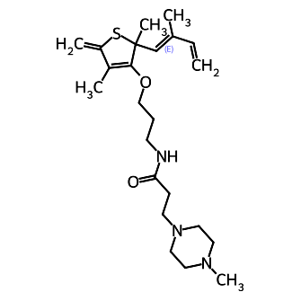 C=C/C(C)=C/C1(C)SC(=C)C(C)=C1OCCCNC(=O)CCN1CCN(C)CC1